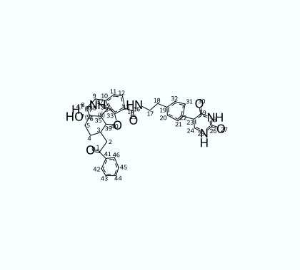 O=C(CC1CC[C@@]2(O)[C@H]3Cc4ccc(C(=O)NCCc5ccc(-c6c[nH]c(=O)[nH]c6=O)cc5)c5c4[C@@]2(CCN3)C1O5)c1ccccc1